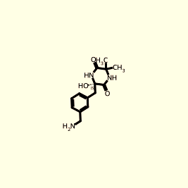 CC1(C)NC(=O)[C@@](O)(Cc2cccc(CN)c2)NC1=O